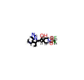 C=CC1=C(/C=C\C)c2cncn2[C@H]1[C@@H]1CC2(CCN(S(=O)(=O)C(F)F)CC2)[C@@H]1O